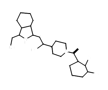 NCC1NC(CC(O)C2CCN(C(=O)C3CCCC(F)C3O)CC2)C2CCCCC12